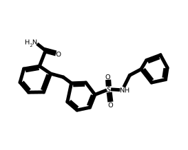 NC(=O)c1ccccc1Cc1cccc(S(=O)(=O)NCc2ccccc2)c1